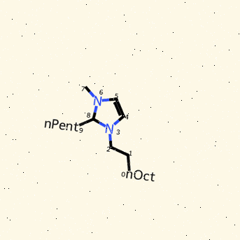 CCCCCCCCCCN1C=CN(C)C1CCCCC